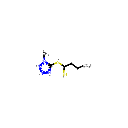 Cn1nnnc1SC(S)CCC(=O)O